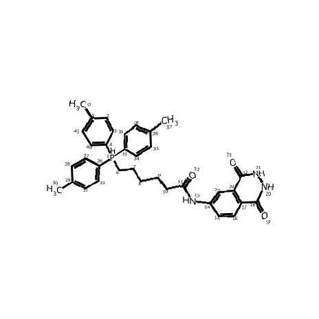 Cc1ccc([PH](CCCCCC(=O)Nc2ccc3c(=O)[nH][nH]c(=O)c3c2)(c2ccc(C)cc2)c2ccc(C)cc2)cc1